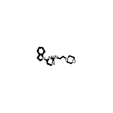 c1ccc2c(c1)ccn2-c1ccnc(NCCN2CCOCC2)n1